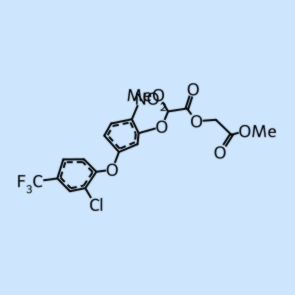 COC(=O)COC(=O)C(OC)Oc1cc(Oc2ccc(C(F)(F)F)cc2Cl)ccc1[N+](=O)[O-]